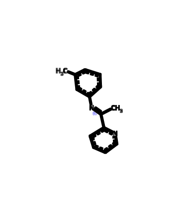 C/C(=N\c1cccc(C)c1)c1ccccn1